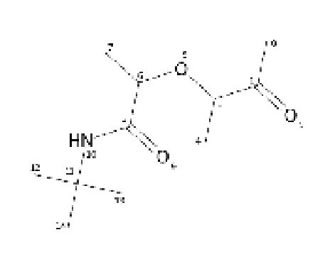 CC(=O)C(C)OC(C)C(=O)NC(C)(C)C